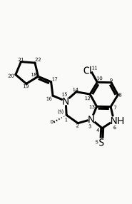 C[C@H]1Cn2c(=S)[nH]c3ccc(Cl)c(c32)CN1CC=C1CCCC1